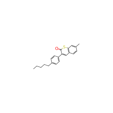 CCCCCc1ccc(-c2cc3ccc(C)cc3sc2=O)cc1